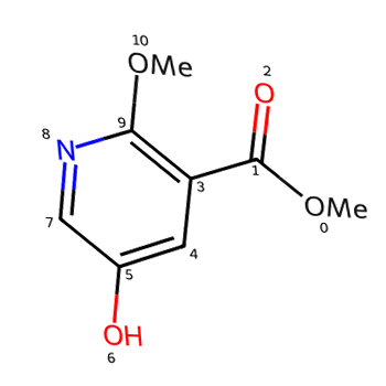 COC(=O)c1cc(O)cnc1OC